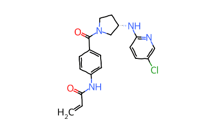 C=CC(=O)Nc1ccc(C(=O)N2CC[C@H](Nc3ccc(Cl)cn3)C2)cc1